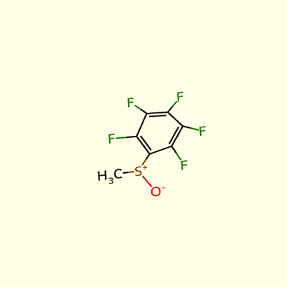 C[S+]([O-])c1c(F)c(F)c(F)c(F)c1F